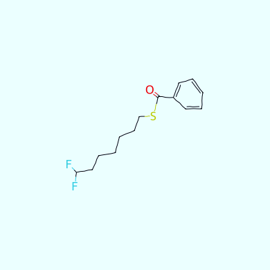 O=C(SCCCCCCC(F)F)c1ccccc1